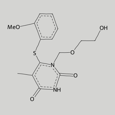 COc1ccccc1Sc1c(C)c(=O)[nH]c(=O)n1COCCO